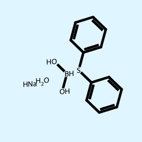 O.OBO.[NaH].c1ccc(Sc2ccccc2)cc1